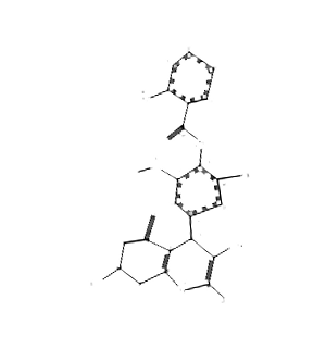 CCCC1CC(=O)C2=C(C1)NC(C)=C(C#N)C2c1cc(Br)c(NC(=O)c2ccccc2[N+](=O)[O-])c(OCC)c1